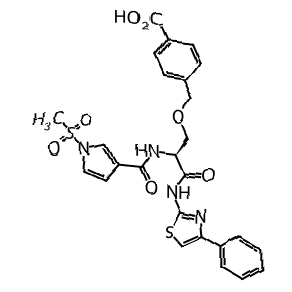 CS(=O)(=O)n1ccc(C(=O)N[C@@H](COCc2ccc(C(=O)O)cc2)C(=O)Nc2nc(-c3ccccc3)cs2)c1